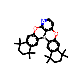 CC1(C)CCC(C)(C)c2cc3c(cc21)Oc1ccnc2c1B3c1cc3c(cc1O2)C(C)(C)CCC3(C)C